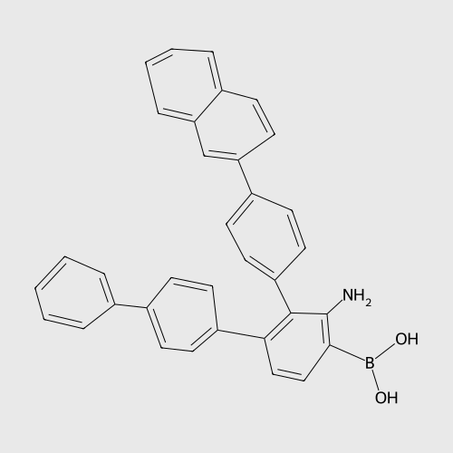 Nc1c(B(O)O)ccc(-c2ccc(-c3ccccc3)cc2)c1-c1ccc(-c2ccc3ccccc3c2)cc1